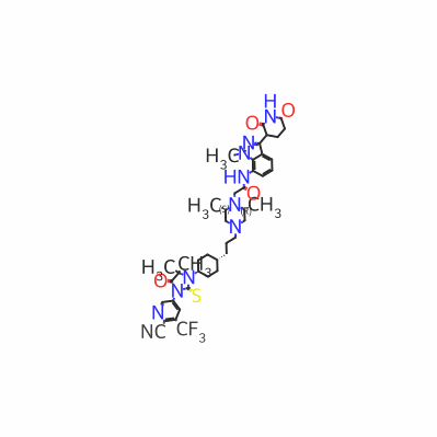 C[C@@H]1CN(CCC[C@H]2CC[C@H](N3C(=S)N(c4cnc(C#N)c(C(F)(F)F)c4)C(=O)C3(C)C)CC2)C[C@H](C)N1CC(=O)Nc1cccc2c(C3CCC(=O)NC3=O)nn(C)c12